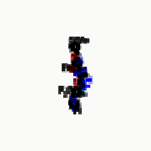 CCOc1cc(OCc2ccc(OC)cc2)ncc1-c1ncc(NC(=O)Nc2cc(C(F)(F)F)c(CN3CCN(CC)CC3)cc2F)c(C)n1